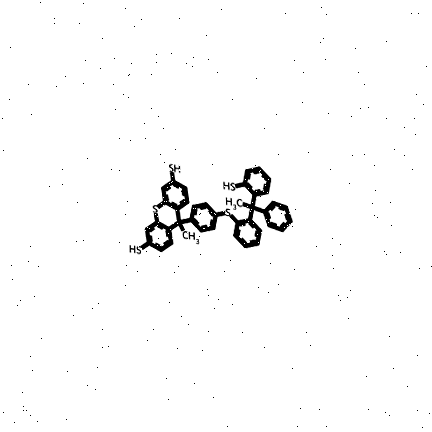 CC(c1ccccc1)(c1ccccc1S)c1ccccc1Sc1ccc(C2(C)c3ccc(S)cc3Sc3cc(S)ccc32)cc1